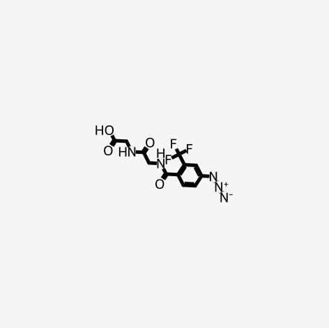 [N-]=[N+]=Nc1ccc(C(=O)NCC(=O)NCC(=O)O)c(C(F)(F)F)c1